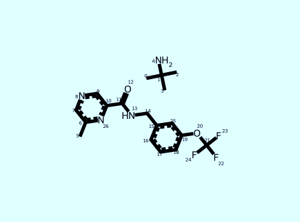 CC(C)(C)N.Cc1cncc(C(=O)NCc2cccc(OC(F)(F)F)c2)n1